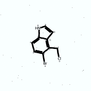 ClCc1c(Br)ccc2[nH]c[c]c12